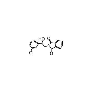 O=C1c2ccccc2C(=O)N1CC(O)c1cccc(Cl)c1